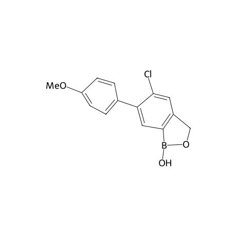 COc1ccc(-c2cc3c(cc2Cl)COB3O)cc1